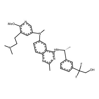 COc1ncc(N(C)c2ccc3nc(C)nc(N[C@H](C)c4cccc(C(F)(F)CO)c4)c3c2)cc1CCN(C)C